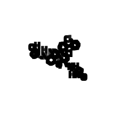 COc1nc(C2(c3cnc4c(c3)CCC[C@@H]4NC[C@@H]3CCC(=O)N3)C=CC=C(c3ccccc3Cl)C2Cl)ccc1CNC[C@@H]1CCC(=O)N1